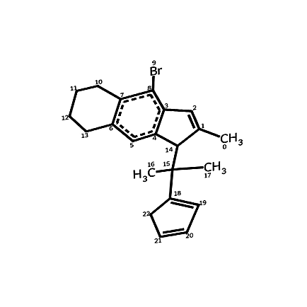 CC1=Cc2c(cc3c(c2Br)CCCC3)C1C(C)(C)C1=CC=CC1